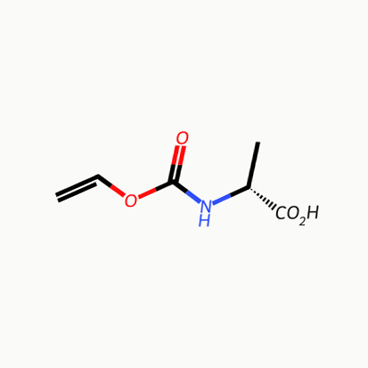 C=COC(=O)N[C@H](C)C(=O)O